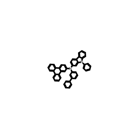 c1ccc(-c2cccc(N(c3ccc4c5ccccc5c5ccccc5c4c3)c3ccc4c5ccccc5n(-c5ccccc5)c4c3)c2)cc1